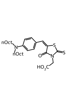 CCCCCCCCN(CCCCCCCC)c1ccc(C=C2SC(=S)N(CC(=O)O)C2=O)cc1